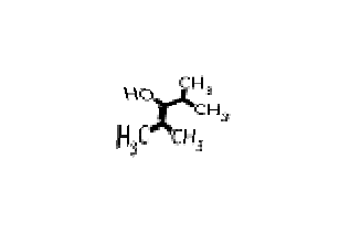 CC(C)=C(O)C(C)C